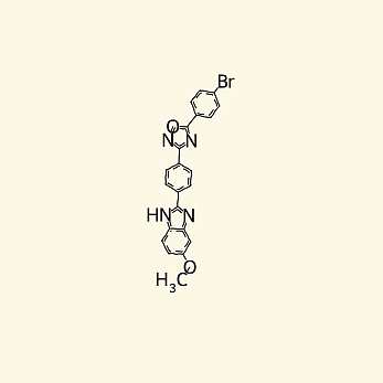 COc1ccc2[nH]c(-c3ccc(-c4noc(-c5ccc(Br)cc5)n4)cc3)nc2c1